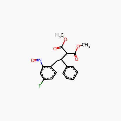 COC(=O)C(C(=O)OC)C(Cc1ccc(F)cc1N=O)c1ccccc1